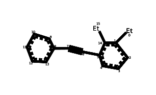 CCc1cccc(C#Cc2ccccc2)c1CC